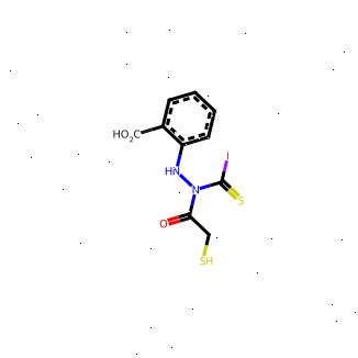 O=C(O)c1ccccc1NN(C(=O)CS)C(=S)I